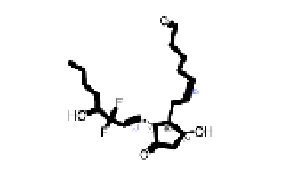 CCCCC(O)C(F)(F)/C=C/[C@H]1C(=O)C[C@H](O)[C@@H]1C/C=C\CCCC=O